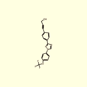 OCC#Cc1ccc(-c2ncn(-c3ccc(OC(F)(F)F)cc3)n2)cc1